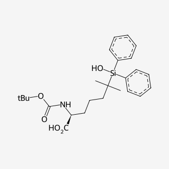 CC(C)(C)OC(=O)N[C@@H](CCCC(C)(C)[Si](O)(c1ccccc1)c1ccccc1)C(=O)O